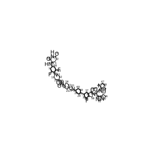 O=C1CC[C@H](Nc2cc(F)c(N3CCC(O)(CC(=O)N4CCC5(CC4)CN(c4ccc(-c6cc(F)c7c(c6)C(=O)N(C(C(=O)Nc6nccs6)c6ncn8c6CCC8)C7)cc4)C5)CC3)c(F)c2)C(=O)N1